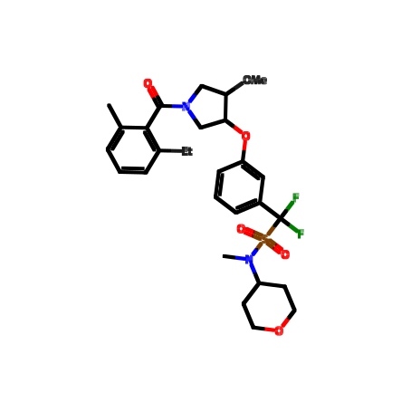 CCc1cccc(C)c1C(=O)N1CC(OC)C(Oc2cccc(C(F)(F)S(=O)(=O)N(C)C3CCOCC3)c2)C1